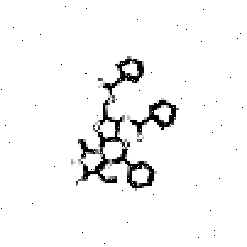 C=CC1=CN(C2OC(COC(=O)c3ccccc3)C(OC(=O)c3ccccc3)C2OC(=O)c2ccccc2)C(=C)NC1=O